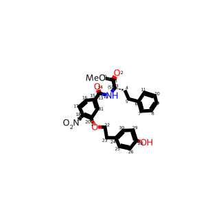 COC(=O)[C@H](CCc1ccccc1)NC(=O)c1ccc([N+](=O)[O-])c(OCCc2ccc(O)cc2)c1